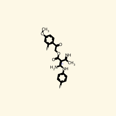 COc1ccc(C(=O)COC(=O)/C(C(C)=N)=C(\N)Nc2ccc(F)cc2)c(F)c1